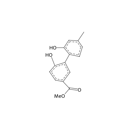 COC(=O)c1ccc(O)c(-c2ccc(C)cc2O)c1